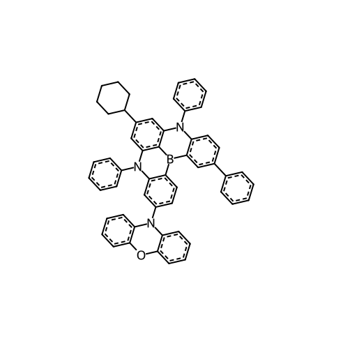 c1ccc(-c2ccc3c(c2)B2c4ccc(N5c6ccccc6Oc6ccccc65)cc4N(c4ccccc4)c4cc(C5CCCCC5)cc(c42)N3c2ccccc2)cc1